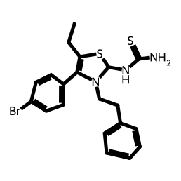 CCC1=C(c2ccc(Br)cc2)N(CCc2ccccc2)C(NC(N)=S)S1